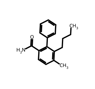 CCCCc1c(C)ccc(C(N)=O)c1-c1ccccc1